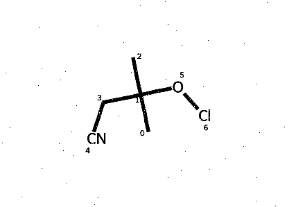 CC(C)(CC#N)OCl